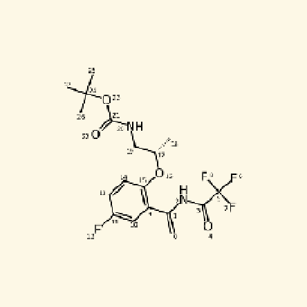 C=C(NC(=O)C(F)(F)F)c1cc(F)ccc1O[C@@H](C)CNC(=O)OC(C)(C)C